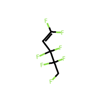 FCC(F)(F)C(F)(F)C=C(F)F